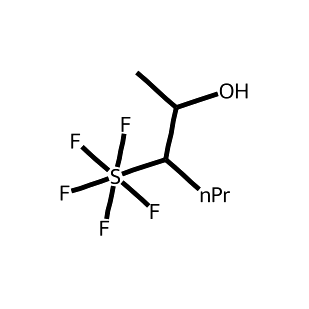 CCCC(C(C)O)S(F)(F)(F)(F)F